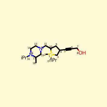 CCC[S@]1(C)CC(C#CCO)CC1CN1CCN(C(C)C)C(C)C1